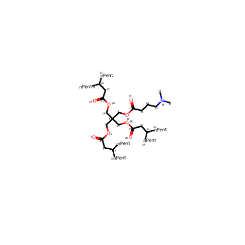 CCCCCC(CCCCC)CC(=O)OCC(COC(=O)CCCN(C)C)(COC(=O)CC(CCCCC)CCCCC)COC(=O)CC(CCCCC)CCCCC